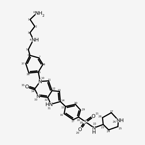 NCCCNCc1ccc(-n2cc3cc(-c4ccc(S(=O)(=O)NC5CCNCC5)cc4)[nH]c3nc2=O)cc1